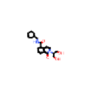 O=C(NCC1CCCCC1)c1cccc2c(=O)n(C(CO)CO)ccc12